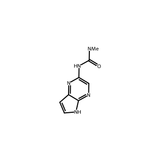 CNC(=O)Nc1cnc2[nH]ccc2n1